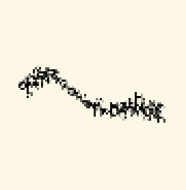 CC(O)(CS(=O)(=O)c1ccc(NCCC(=O)NCCOCCOCCOCCNc2cccc3c2CN(C2CCC(=O)NC2=O)C3=O)cc1)C(=O)Nc1ccc(C#N)c(C(F)(F)F)c1